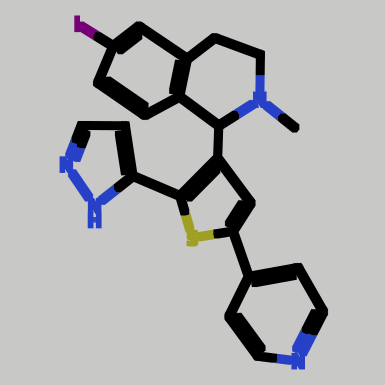 CN1CCc2cc(I)ccc2C1c1cc(-c2ccncc2)sc1-c1ccn[nH]1